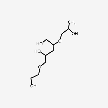 CC(O)COC(CO)CC(O)COCCO